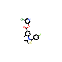 C=C1CSC(c2ccc(F)cc2)N1c1ccc(C(=O)Oc2cncc(Cl)c2)cc1C